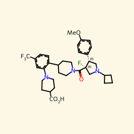 COc1ccc([C@@H]2CN(C3CCC3)C[C@@]2(F)C(=O)N2CCC(c3ccc(C(F)(F)F)cc3N3CCC(C(=O)O)CC3)CC2)cc1